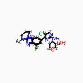 CC(=O)N1CCCn2c1nc1c(F)cc(-c3nc(N[C@@H]4CCOC[C@H]4O)ncc3Cl)cc12